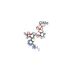 COCC(C)OC(=O)Cc1ccccc1OCc1cc(-c2ccnc(CN)c2)c2cc(C)oc2c1